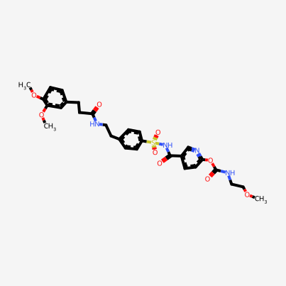 COCCNC(=O)Oc1ccc(C(=O)NS(=O)(=O)c2ccc(CCNC(=O)CCc3ccc(OC)c(OC)c3)cc2)cn1